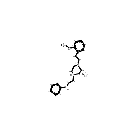 Cl.Cl.FC(F)(F)Oc1ccccc1CCN1CCN(CCOc2ccccc2)CC1